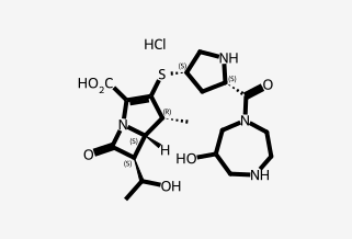 CC(O)[C@H]1C(=O)N2C(C(=O)O)=C(S[C@@H]3CN[C@H](C(=O)N4CCNCC(O)C4)C3)[C@H](C)[C@H]12.Cl